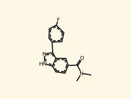 CN(C)C(=O)c1ccc2[nH]nc(-c3ccc(F)cc3)c2c1